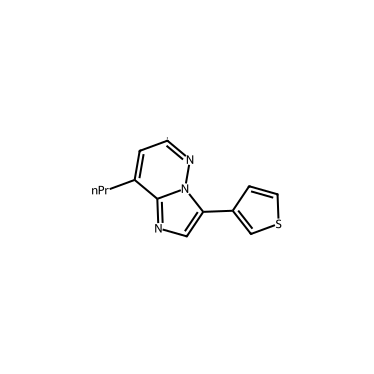 CCCc1c[c]nn2c(-c3ccsc3)cnc12